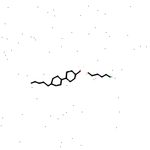 CCCCCC1CCC(C2CCC(C(=O)OCCCCCCBr)CC2)CC1